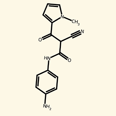 Cn1cccc1C(=O)C(C#N)C(=O)Nc1ccc(N)cc1